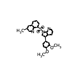 COc1ccc(-c2cn(S(=O)(=O)c3cccc4cc(C)cnc34)c3ncccc23)cc1OC